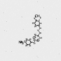 CCc1ccc(CCCC2COC(Cc3ccc(C#N)cc3)OC2)cc1